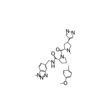 COc1ccc(C[C@@H]2C[C@@H](C(=O)NCc3ccc4c(c3)nnn4C)N(C(=O)[C@H]3C[C@@H](c4cnn(C)c4)CN3C)C2)cc1